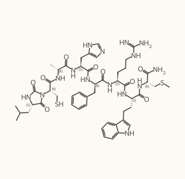 CSC[C@H](NC(=O)[C@H](CCc1c[nH]c2ccccc12)NC(=O)[C@H](CCCNC(=N)N)NC(=O)[C@@H](Cc1ccccc1)NC(=O)[C@H](Cc1cnc[nH]1)NC(=O)[C@@H](C)NC(=O)[C@H](CS)N1C(=O)N[C@@H](CC(C)C)C1=O)C(N)=O